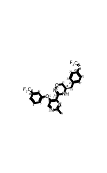 Cc1ncc(Oc2cccc(C(F)(F)F)c2)c(C2=NOC[C@@H](Cc3ccc(SC(F)(F)F)cc3)N2)n1